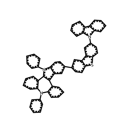 c1ccc(N2c3ccccc3-c3c(n(-c4ccccc4)c4ccc(-c5ccc6sc7ccc(-n8c9ccccc9c9ccccc98)cc7c6c5)cc34)-c3ccccc32)cc1